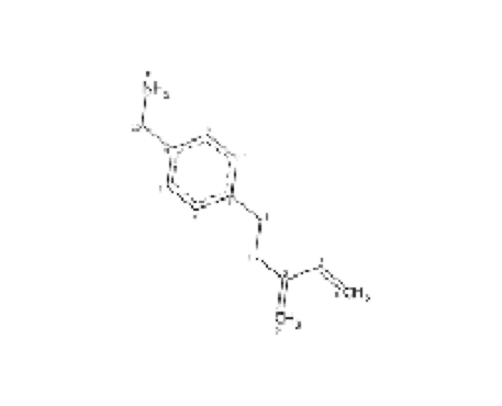 C=CC(=C)CCc1ccc(CN)cc1